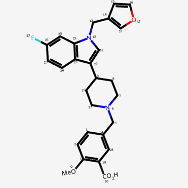 COc1ccc(CN2CCC(c3cn(Cc4ccoc4)c4cc(F)ccc34)CC2)cc1C(=O)O